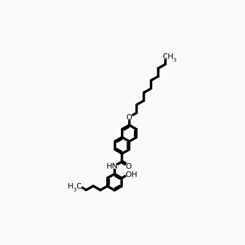 CCCCCCCCCCOc1ccc2cc(C(=O)Nc3cc(CCCC)ccc3O)ccc2c1